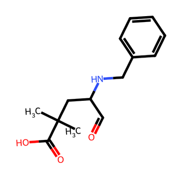 CC(C)(CC(C=O)NCc1ccccc1)C(=O)O